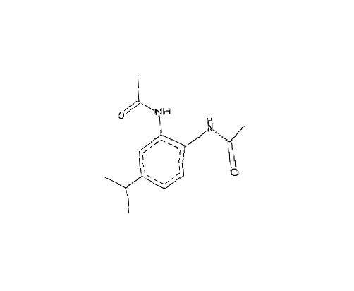 CC(=O)Nc1ccc(C(C)C)cc1NC(C)=O